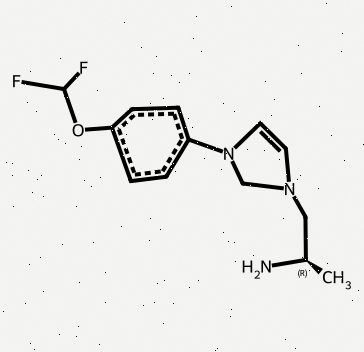 C[C@@H](N)CN1C=CN(c2ccc(OC(F)F)cc2)C1